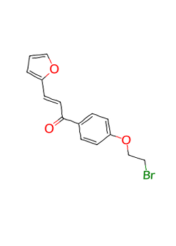 O=C(C=Cc1ccco1)c1ccc(OCCBr)cc1